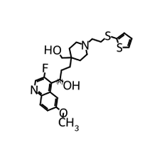 COc1ccc2ncc(F)c([C@H](O)CCC3(CO)CCN(CCSc4cccs4)CC3)c2c1